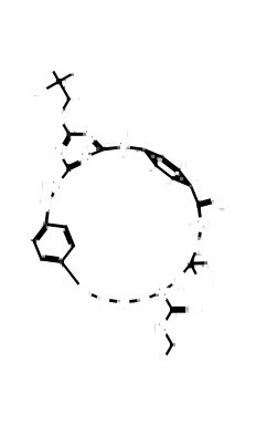 CCNC(=O)N1CCCOc2ccc(cc2)CNc2nc(nc(OCC(F)(F)F)n2)Nc2ccc(cc2)C(=O)NCC(C)(C)C1